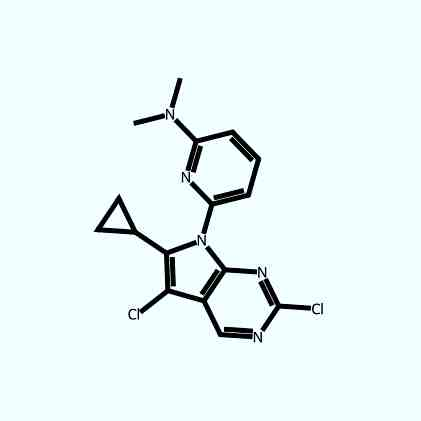 CN(C)c1cccc(-n2c(C3CC3)c(Cl)c3cnc(Cl)nc32)n1